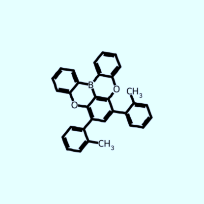 Cc1ccccc1-c1cc(-c2ccccc2C)c2c3c1Oc1ccccc1B3c1ccccc1O2